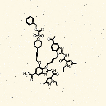 CCn1nc(C)cc1C(=O)Nc1nc2cc(C(C)=O)ccc2n1C/C=C/Cn1c(NC(=O)c2cc(C)nn2CC)nc2cc(C(N)=O)cc(OCC#CC3CCN(S(=O)(=O)C(=O)OCc4ccccc4)CC3)c21